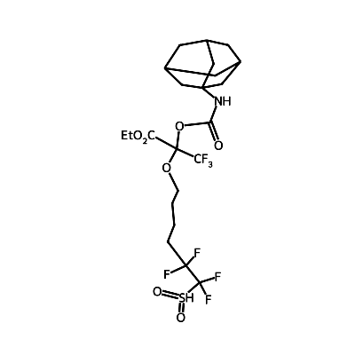 CCOC(=O)C(OCCCCC(F)(F)C(F)(F)[SH](=O)=O)(OC(=O)NC12CC3CC(CC(C3)C1)C2)C(F)(F)F